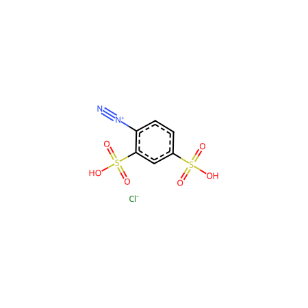 N#[N+]c1ccc(S(=O)(=O)O)cc1S(=O)(=O)O.[Cl-]